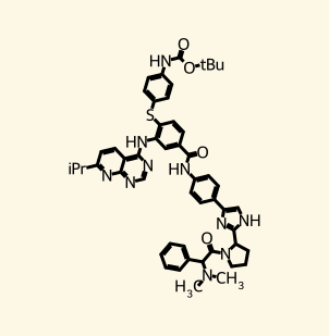 CC(C)c1ccc2c(Nc3cc(C(=O)Nc4ccc(-c5c[nH]c(C6CCCN6C(=O)C(c6ccccc6)N(C)C)n5)cc4)ccc3Sc3ccc(NC(=O)OC(C)(C)C)cc3)ncnc2n1